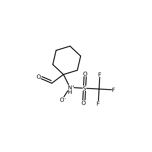 O=CC1([NH+]([O-])S(=O)(=O)C(F)(F)F)CCCCC1